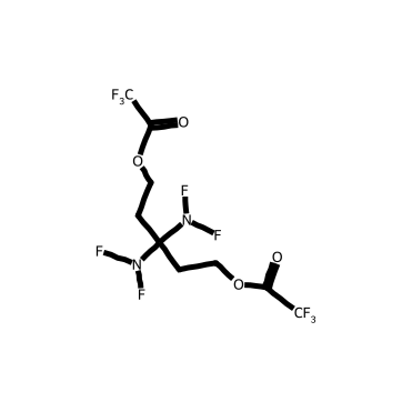 O=C(OCCC(CCOC(=O)C(F)(F)F)(N(F)F)N(F)F)C(F)(F)F